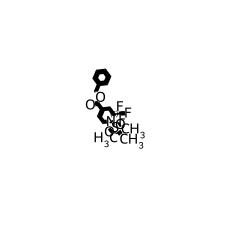 CC(C)(C)S(=O)(=O)N1CC=C(C(=O)OCc2ccccc2)C[C@H]1C(F)(F)F